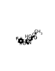 CCOC(=O)/C(O)=C/c1ncc(Oc2ccc(F)cc2)cn1